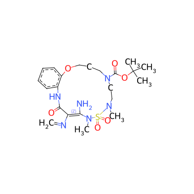 C=N/C1=C(/N)N(C)S(=O)(=O)N(C)CCN(C(=O)OC(C)(C)C)CCCOc2ccccc2NC1=O